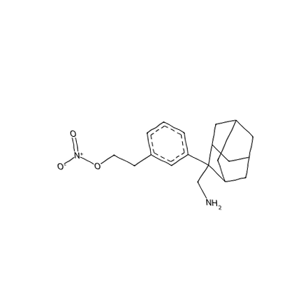 NCC1(c2cccc(CCO[N+](=O)[O-])c2)C2CC3CC(C2)CC1C3